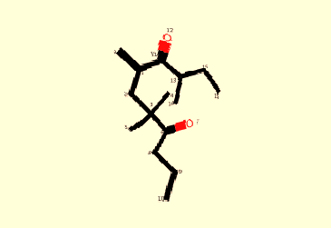 C=C(CC(C)(C)C(=O)CCC)C(=O)C(C)CC